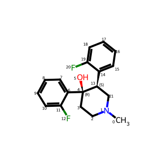 CN1CC[C@](O)(c2ccccc2F)[C@@H](c2ccccc2F)C1